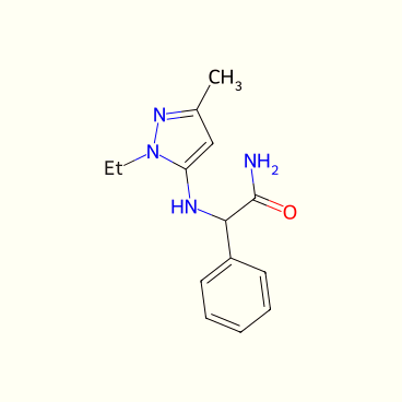 CCn1nc(C)cc1NC(C(N)=O)c1ccccc1